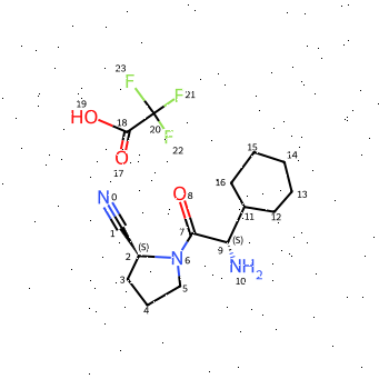 N#C[C@@H]1CCCN1C(=O)[C@@H](N)C1CCCCC1.O=C(O)C(F)(F)F